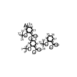 CC(C)(C)Oc1ccccc1C(=O)[O-].CC(C)(C)Oc1ccccc1C(=O)[O-].CC(C)(C)Oc1ccccc1C(=O)[O-].[Al+3]